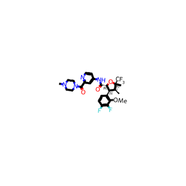 COc1c([C@H]2[C@H](C(=O)Nc3ccnc(C(=O)N4CCN(C)CC4)c3)O[C@@](C)(C(F)(F)F)[C@H]2C)ccc(F)c1F